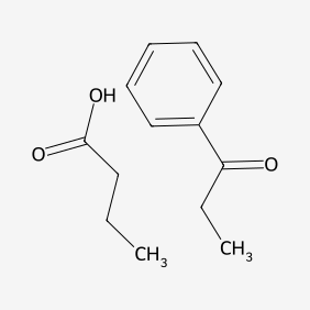 CCC(=O)c1ccccc1.CCCC(=O)O